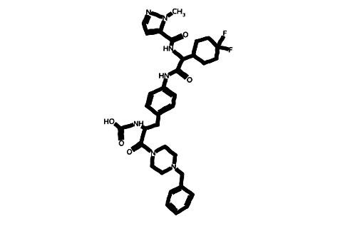 Cn1nccc1C(=O)NC(C(=O)Nc1ccc(CC(NC(=O)O)C(=O)N2CCN(Cc3ccccc3)CC2)cc1)C1CCC(F)(F)CC1